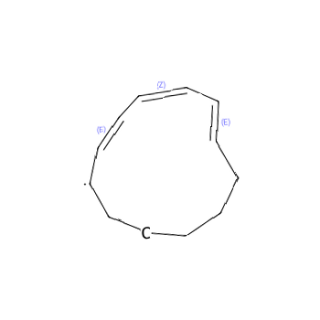 [CH]1/C=C/C=C\C=C\CCCCC1